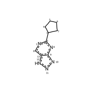 c1nc(C2CCCC2)nc2nn[nH]c12